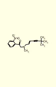 CN(CC=CC#CC(C)(C)C)CC(=O)c1ccccc1[N+](=O)[O-]